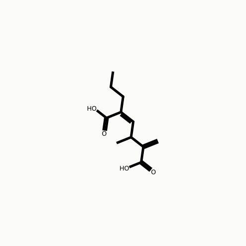 C=C(C(=O)O)C(C)C=C(CCC)C(=O)O